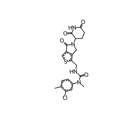 Cc1ccc(N(C)C(=O)NCc2scc3c2CN(C2CCC(=O)NC2=O)C3=O)cc1Cl